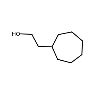 OCCC1CCCCCC1